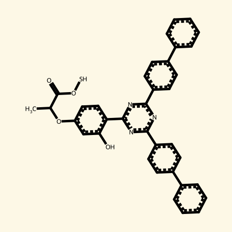 CC(Oc1ccc(-c2nc(-c3ccc(-c4ccccc4)cc3)nc(-c3ccc(-c4ccccc4)cc3)n2)c(O)c1)C(=O)OS